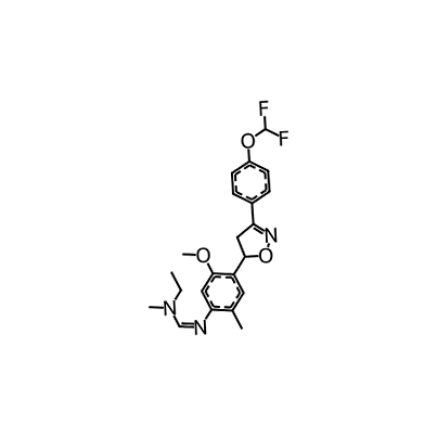 CCN(C)/C=N\c1cc(OC)c(C2CC(c3ccc(OC(F)F)cc3)=NO2)cc1C